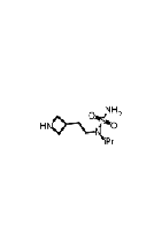 CC(C)N(CCC1CNC1)S(N)(=O)=O